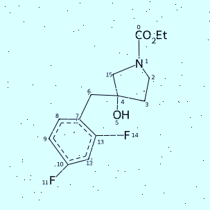 CCOC(=O)N1CCC(O)(Cc2ccc(F)cc2F)C1